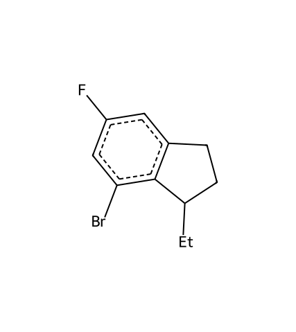 CCC1CCc2cc(F)cc(Br)c21